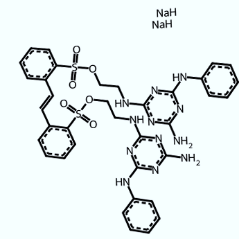 Nc1nc(NCCOS(=O)(=O)c2ccccc2C=Cc2ccccc2S(=O)(=O)OCCNc2nc(N)nc(Nc3ccccc3)n2)nc(Nc2ccccc2)n1.[NaH].[NaH]